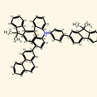 CC1(C)c2ccccc2-c2ccc(-c3ccc(N(c4ccc(-c5ccc6c(ccc7ccccc76)c5)cc4)c4ccccc4-c4cccc5c4-c4ccccc4C5(C)C)cc3)cc21